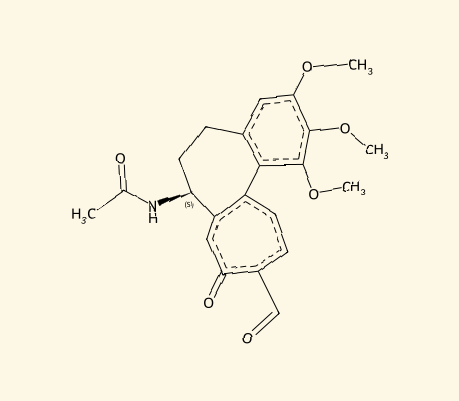 COc1cc2c(c(OC)c1OC)-c1ccc(C=O)c(=O)cc1[C@@H](NC(C)=O)CC2